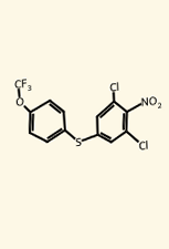 O=[N+]([O-])c1c(Cl)cc(Sc2ccc(OC(F)(F)F)cc2)cc1Cl